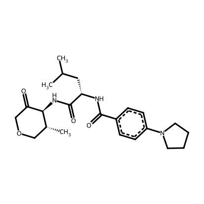 CC(C)C[C@H](NC(=O)c1ccc(N2CCCC2)cc1)C(=O)N[C@@H]1C(=O)COC[C@H]1C